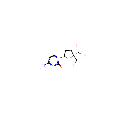 Nc1ccn([C@H]2C[C@H](O)[C@](CO)(CF)S2)c(=O)n1